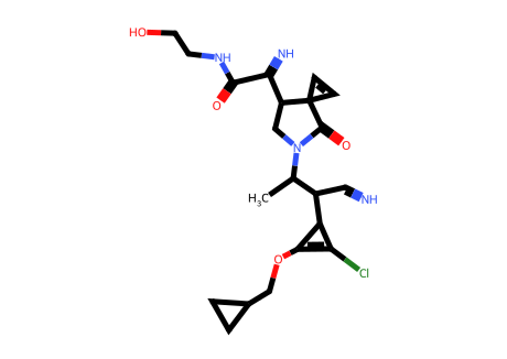 CC(C(C=N)C1C(Cl)=C1OCC1CC1)N1CC(C(=N)C(=O)NCCO)C2(C=C2)C1=O